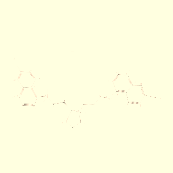 Cl.Cl.Cl.Fc1ccc2c(NCCCN3CCC[C@H]3CCNc3ccnc4cc(F)ccc34)ccnc2c1